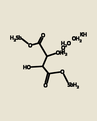 O.O.O.O=C([O][SbH2])C(O)C(O)C(=O)[O][SbH2].[KH]